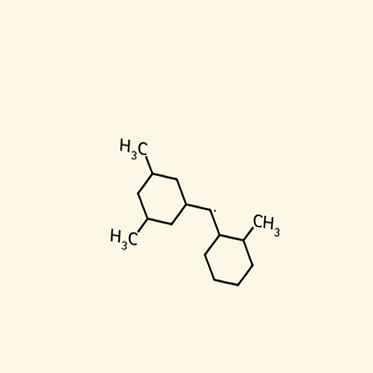 CC1CC(C)CC([CH]C2CCCCC2C)C1